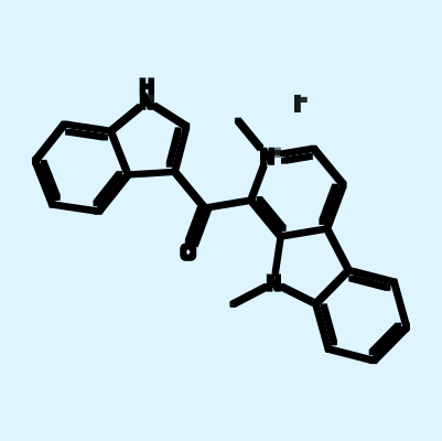 Cn1c2ccccc2c2cc[n+](C)c(C(=O)c3c[nH]c4ccccc34)c21.[I-]